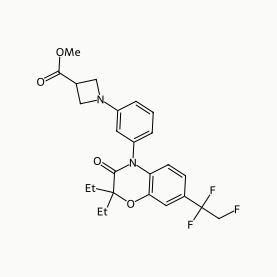 CCC1(CC)Oc2cc(C(F)(F)CF)ccc2N(c2cccc(N3CC(C(=O)OC)C3)c2)C1=O